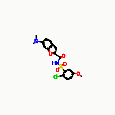 COc1ccc(Cl)c(S(=O)(=O)NC(=O)c2cc3ccc(N(C)C)cc3o2)c1